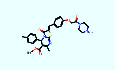 CCN1CCN(C(=O)COc2ccc(/C=c3\sc4n(c3=O)C(c3ccc(C)cc3)C(C(=O)OC(C)C)=C(C)N=4)cc2)CC1